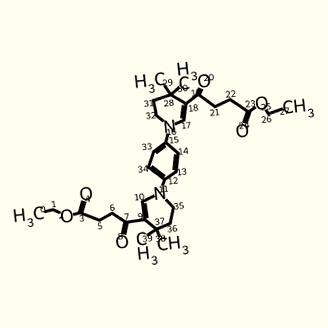 CCOC(=O)CCC(=O)C1=CN(c2ccc(N3C=C(C(=O)CCC(=O)OCC)C(C)(C)CC3)cc2)CCC1(C)C